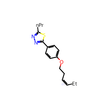 CC/C=C\CCOc1ccc(-c2nnc(CCC)s2)cc1